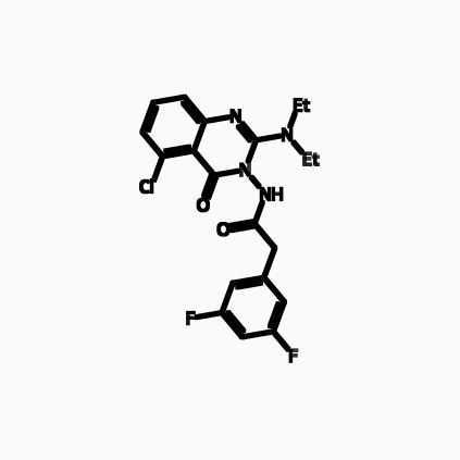 CCN(CC)c1nc2cccc(Cl)c2c(=O)n1NC(=O)Cc1cc(F)cc(F)c1